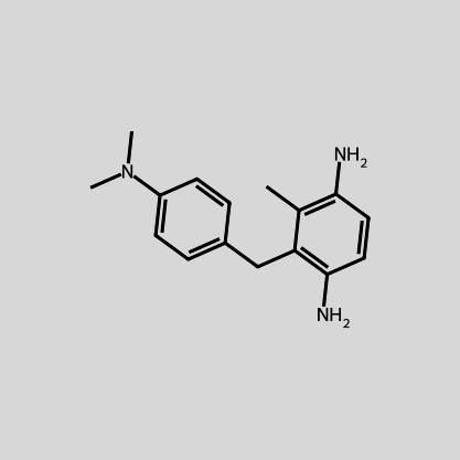 Cc1c(N)ccc(N)c1Cc1ccc(N(C)C)cc1